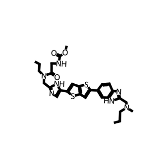 CCCN(C)Cc1nc2ccc(-c3cc4sc(-c5cnc(CN(CCC)C(=O)CNC(=O)OC)[nH]5)cc4s3)cc2[nH]1